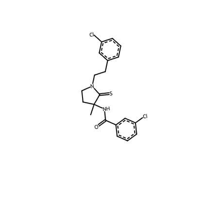 CC1(NC(=O)c2cccc(Cl)c2)CCN(CCc2cccc(Cl)c2)C1=S